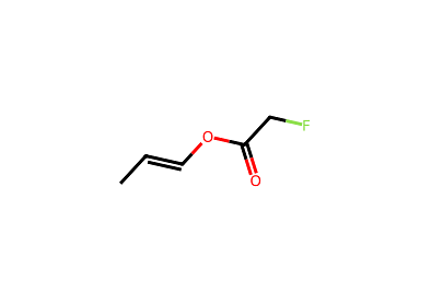 CC=COC(=O)CF